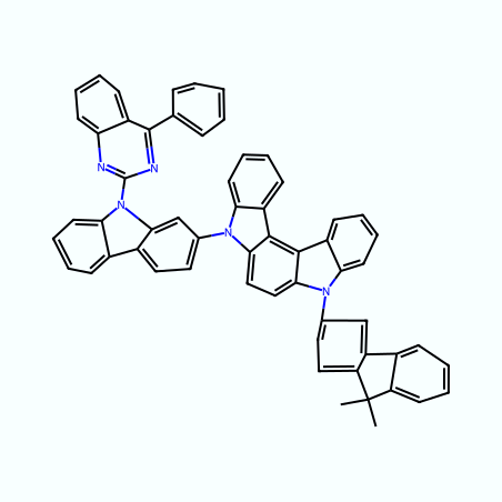 CC1(C)c2ccccc2-c2cc(-n3c4ccccc4c4c5c6ccccc6n(-c6ccc7c8ccccc8n(-c8nc(-c9ccccc9)c9ccccc9n8)c7c6)c5ccc43)ccc21